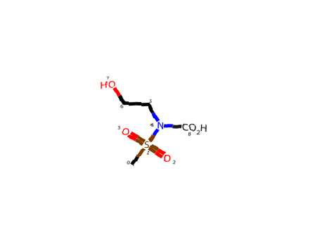 CS(=O)(=O)N(CCO)C(=O)O